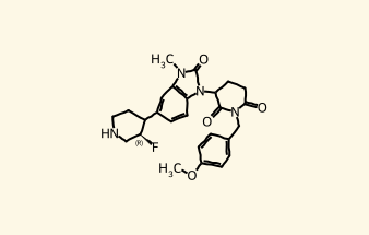 COc1ccc(CN2C(=O)CCC(n3c(=O)n(C)c4cc(C5CCNC[C@@H]5F)ccc43)C2=O)cc1